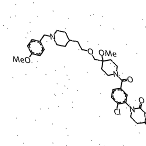 COc1ccc(CN2CCC(CCOCC3(OC)CCN(C(=O)c4ccc(Cl)c(N5CCC(=O)NC5=O)c4)CC3)CC2)cc1